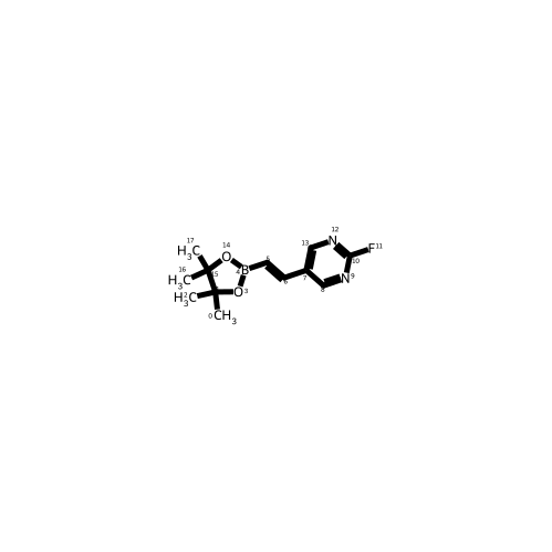 CC1(C)OB(C=Cc2cnc(F)nc2)OC1(C)C